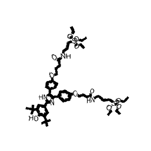 CCO[Si](CCCNC(=O)CCCOc1ccc(-c2nc(-c3cc(C(C)(C)C)c(O)c(C(C)(C)C)c3)[nH]c2-c2ccc(OCCCC(=O)NCCC[Si](OCC)(OCC)OCC)cc2)cc1)(OCC)OCC